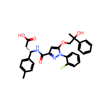 Cc1ccc([C@H](CC(=O)O)NC(=O)c2cc(OCC(C)(O)c3ccccc3)n(-c3ccccc3F)n2)cc1